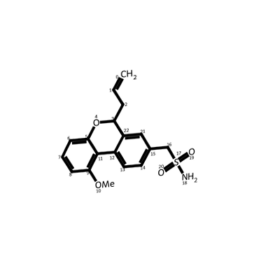 C=CCC1Oc2cccc(OC)c2-c2ccc(CS(N)(=O)=O)cc21